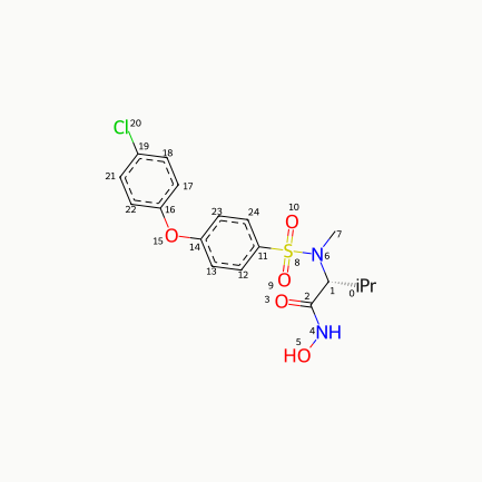 CC(C)[C@H](C(=O)NO)N(C)S(=O)(=O)c1ccc(Oc2ccc(Cl)cc2)cc1